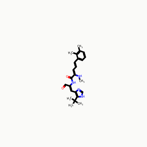 CN/C(=C\C=C\c1cccc(C)c1C)C(=O)N/C(C=O)=C\c1nc[nH]c1C(C)(C)C